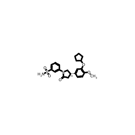 COc1ccc([C@@H]2CC(=O)N(c3cccc(S(N)(=O)=O)c3)C2)cc1OC1CCCC1